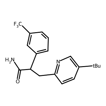 CC(C)(C)c1ccc(CC(C(N)=O)c2cccc(C(F)(F)F)c2)nc1